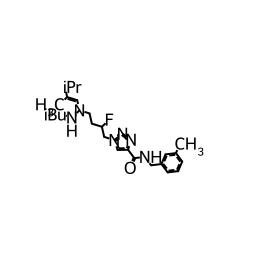 CCC(C)NN(/C=C(\C)C(C)C)CCC(F)Cn1cc(C(=O)NCc2cccc(C)c2)nn1